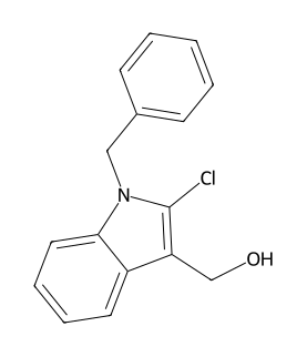 OCc1c(Cl)n(Cc2ccccc2)c2ccccc12